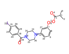 CC(C)C(=O)OOc1cccc(N2CCN(C(=O)c3ccc(I)cc3)CC2)c1